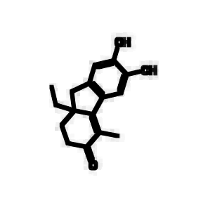 CCC12CCC(=O)C(C)=C1c1cc(O)c(O)cc1C2